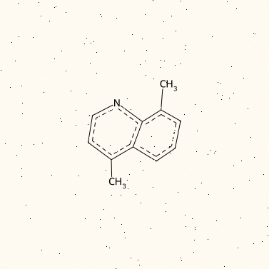 Cc1c[c]nc2c(C)cccc12